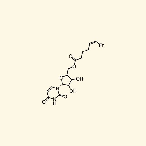 CC/C=C\CCCC(=O)OCC1O[C@@H](n2ccc(=O)[nH]c2=O)C(O)C1O